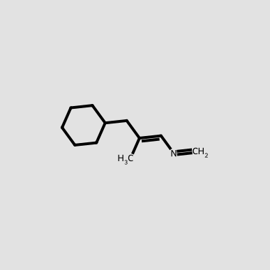 C=N/C=C(\C)CC1CCCCC1